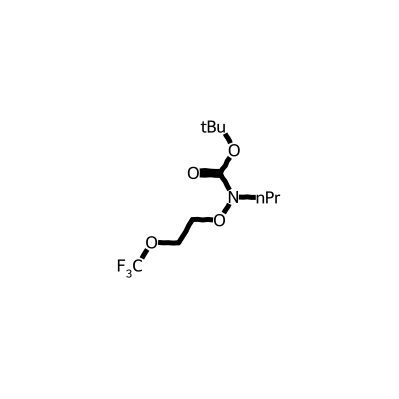 CCCN(OCCOC(F)(F)F)C(=O)OC(C)(C)C